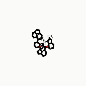 CC1=C([SiH](C)C2=C(C)[CH]c3cccc(-c4ccc5c6c(cccc46)C=C5)c32)c2c(cccc2-c2ccc3c4c(cccc24)C=C3)[CH]1